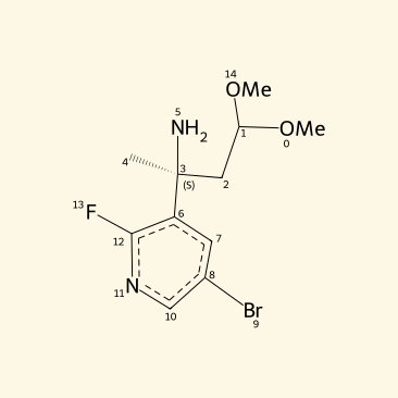 COC(C[C@](C)(N)c1cc(Br)cnc1F)OC